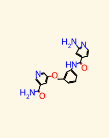 NC(=O)c1cncc(OCc2cccc(NC(=O)c3ccnc(N)c3)c2)c1